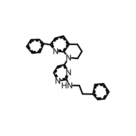 c1ccc(CCNc2nccc(N3CCCc4ccc(-c5ccccc5)nc43)n2)cc1